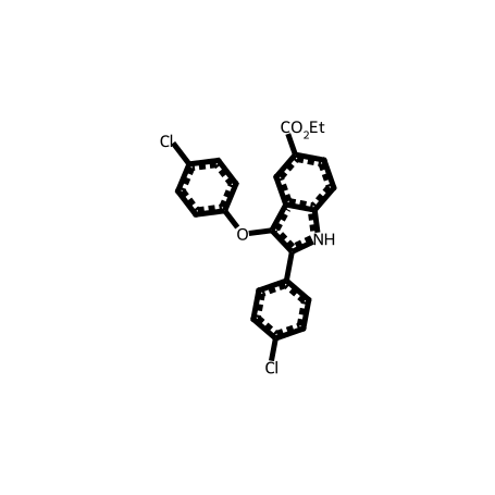 CCOC(=O)c1ccc2[nH]c(-c3ccc(Cl)cc3)c(Oc3ccc(Cl)cc3)c2c1